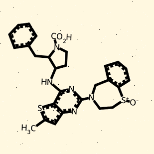 Cc1cc2nc(N3CC[S+]([O-])c4ccccc4C3)nc(NC3CCN(C(=O)O)C3Cc3ccccc3)c2s1